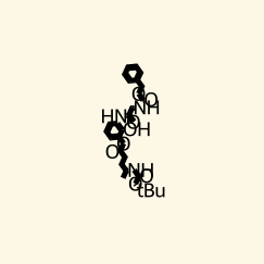 CC(CCC(=O)Oc1cccc(NC(=O)CNC(=O)OCc2ccccc2)c1O)NC(=O)OC(C)(C)C